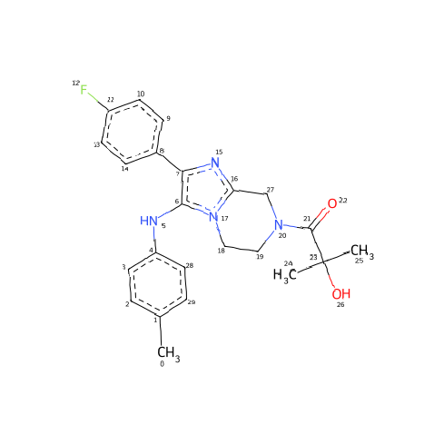 Cc1ccc(Nc2c(-c3ccc(F)cc3)nc3n2CCN(C(=O)C(C)(C)O)C3)cc1